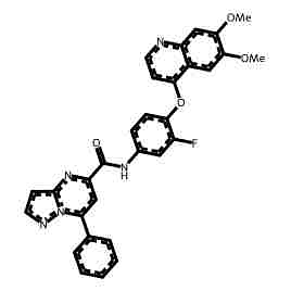 COc1cc2nccc(Oc3ccc(NC(=O)c4cc(-c5ccccc5)n5nccc5n4)cc3F)c2cc1OC